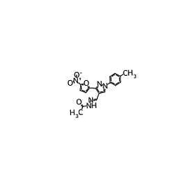 CC(=O)NN=Cc1cn(-c2ccc(C)cc2)nc1-c1ccc([N+](=O)[O-])o1